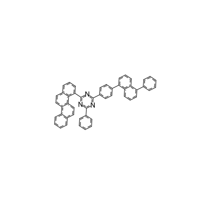 c1ccc(-c2nc(-c3ccc(-c4cccc5c(-c6ccccc6)cccc45)cc3)nc(-c3cccc4ccc5c6ccccc6ccc5c34)n2)cc1